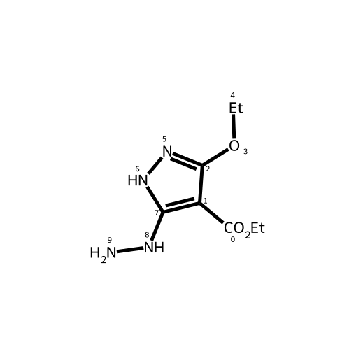 CCOC(=O)c1c(OCC)n[nH]c1NN